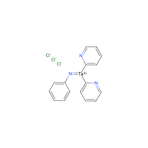 [Cl-].[Cl-].[Cl-].c1ccc([N]=[Ta+3]([c]2ccccn2)[c]2ccccn2)cc1